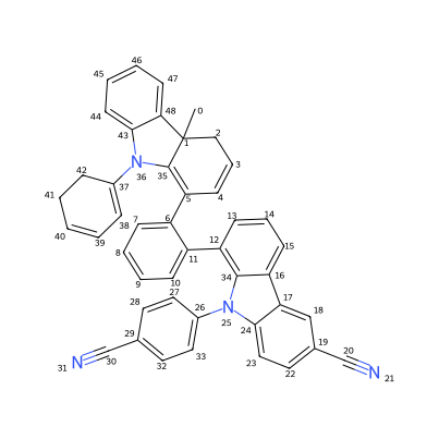 CC12CC=CC(c3ccccc3-c3cccc4c5cc(C#N)ccc5n(-c5ccc(C#N)cc5)c34)=C1N(C1=CC=CCC1)c1ccccc12